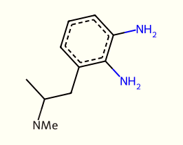 CNC(C)Cc1cccc(N)c1N